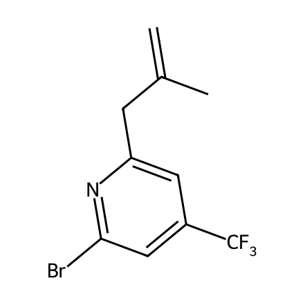 C=C(C)Cc1cc(C(F)(F)F)cc(Br)n1